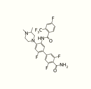 CC1CN(c2cc(F)c(-c3cc(F)c(C(N)=O)c(F)c3)cc2NC(=O)c2ccc(F)cc2C(F)(F)F)CCN1C